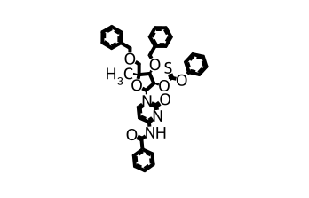 C[C@]1(COCc2ccccc2)O[C@@H](n2ccc(NC(=O)c3ccccc3)nc2=O)[C@H](OC(=S)Oc2ccccc2)[C@@H]1OCc1ccccc1